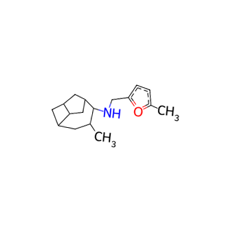 Cc1ccc(CNC2C(C)CC3CC4CC2CC34)o1